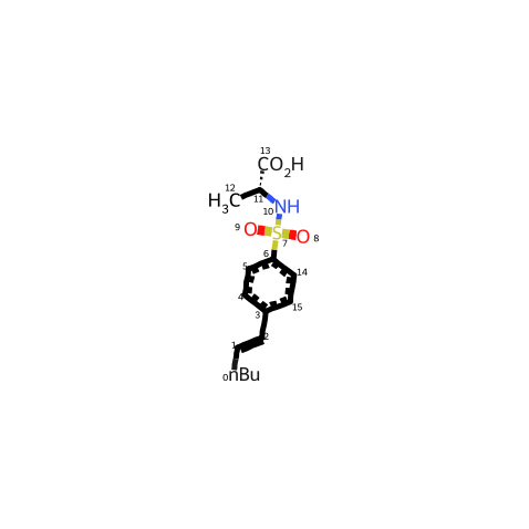 CCCCC=Cc1ccc(S(=O)(=O)N[C@H](C)C(=O)O)cc1